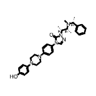 C[C@H](c1ccccc1)N(C)[C@H](C)[C@@H](C)n1ncn(-c2ccc(N3CCN(c4ccc(O)cc4)CC3)cc2)c1=O